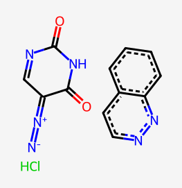 Cl.[N-]=[N+]=C1C=NC(=O)NC1=O.c1ccc2nnccc2c1